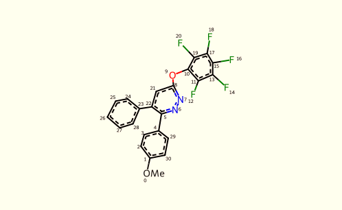 COc1ccc(-c2nnc(Oc3c(F)c(F)c(F)c(F)c3F)cc2-c2ccccc2)cc1